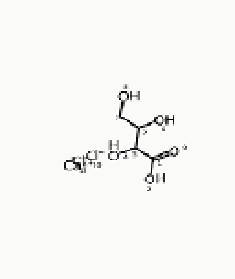 O=C(O)C(O)C(O)CO.[Ca+2].[Cl-].[Cl-]